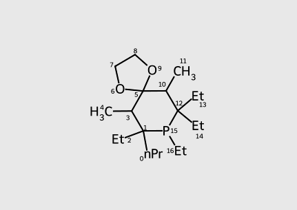 CCCC1(CC)C(C)C2(OCCO2)C(C)C(CC)(CC)P1CC